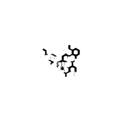 B[C@]1(C)CN(C(=O)C=C)C[C@H](C)N1c1nc(=O)n(-c2c(CC)ccnc2C(C)C)c2nc(-c3c(F)cccc3C=C)c(Cl)cc12